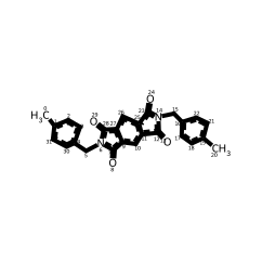 Cc1ccc(Cn2c(=O)c3cc4c(=O)n(Cc5ccc(C)cc5)c(=O)c4cc3c2=O)cc1